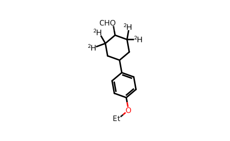 [2H]C1([2H])CC(c2ccc(OCC)cc2)CC([2H])([2H])C1C=O